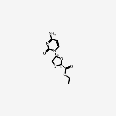 CCOC(=O)[C@H]1O[C@@H](n2ccc(N)nc2=O)CS1